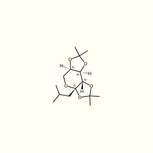 CC(C)C[C@@]12OC[C@H]3OC(C)(C)O[C@H]3[C@@H]1OC(C)(C)O2